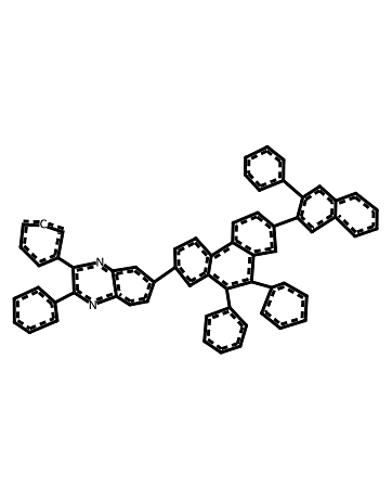 c1ccc(-c2cc3ccccc3cc2-c2ccc3c(c2)c(-c2ccccc2)c(-c2ccccc2)c2cc(-c4ccc5nc(-c6ccccc6)c(-c6ccccc6)nc5c4)ccc23)cc1